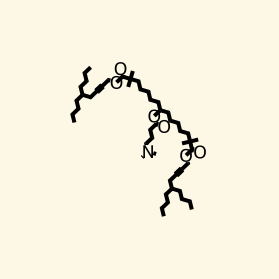 CCCCC(CC#CCOC(=O)C(C)(C)CCCCCC(CCCCCC(C)(C)C(=O)OCC#CCC(CCCC)CCCC)OC(=O)CCCN(C)C)CCCC